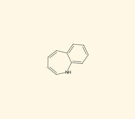 [C]1=CNc2ccccc2C=C1